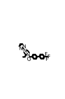 CCC1CN(c2ncccn2)CCN1C(=O)c1ccc(-c2ccc(C(F)(F)F)cc2)cc1